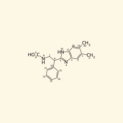 Cc1cc2nc(C(CNC(=O)O)c3ccccc3)[nH]c2cc1C